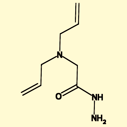 C=CCN(CC=C)CC(=O)NN